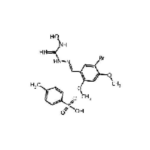 COc1cc(OC)c(C=NNC(=N)NO)cc1Br.Cc1ccc(S(=O)(=O)O)cc1